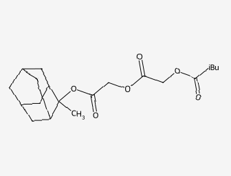 CCC(C)C(=O)OCC(=O)OCC(=O)OC1(C)C2CC3CC(C2)CC1C3